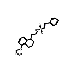 O=C(O)COc1cccc2c1CCCC2CCNS(=O)(=O)/C=C/c1ccccc1